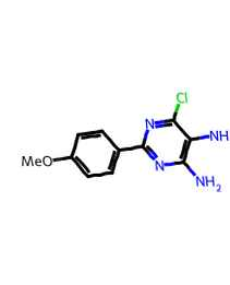 COc1ccc(-c2nc(N)c(N)c(Cl)n2)cc1